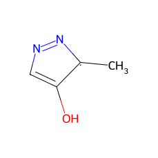 C[C]1N=NC=C1O